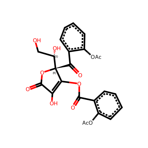 CC(=O)Oc1ccccc1C(=O)OC1=C(O)C(=O)O[C@]1(C(=O)c1ccccc1OC(C)=O)[C@@H](O)CO